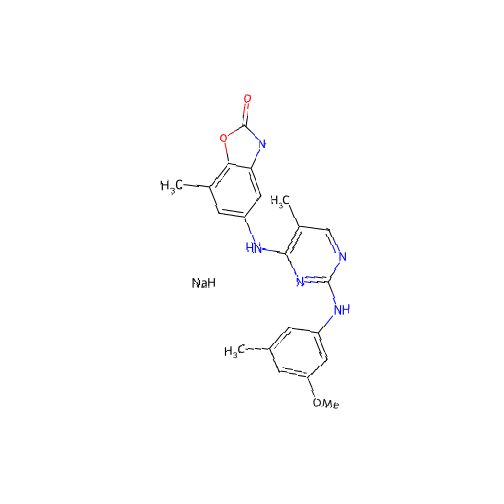 COc1cc(C)cc(Nc2ncc(C)c(Nc3cc(C)c4c(c3)[N]C(=O)O4)n2)c1.[NaH]